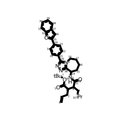 C=CCC(C(=O)OC(C)(C)C)C(CC(C)C)C(=O)NC1CCCCn2c(-c3ccc(-c4cc5ccccc5o4)cc3)nnc21